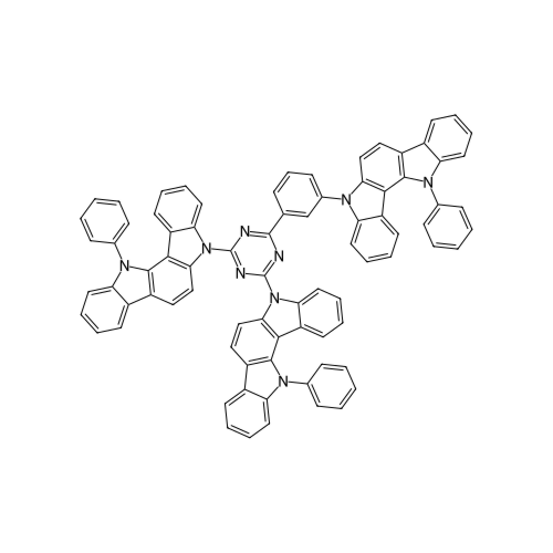 c1ccc(-n2c3ccccc3c3ccc4c(c5ccccc5n4-c4cccc(-c5nc(-n6c7ccccc7c7c6ccc6c8ccccc8n(-c8ccccc8)c67)nc(-n6c7ccccc7c7c6ccc6c8ccccc8n(-c8ccccc8)c67)n5)c4)c32)cc1